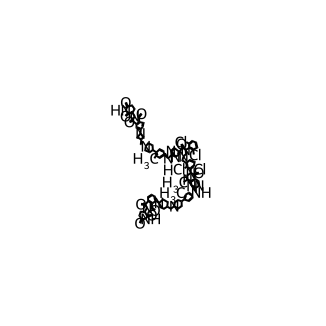 Cc1cc(Nc2ncc3c(n2)N(C)CN(c2c(Cl)ccc(CN4CN(c5c(Cl)cccc5Cl)C(=O)c5cnc(Nc6ccc(C7CCN(CC8CN(c9ccc%10c(c9)C(=O)N(C9CCC(=O)NC9=O)C%10=O)C8)CC7)c(C)c6)nc54)c2Cl)C3=O)ccc1C1CCN(CC2CCN(c3cccc4c3C(=O)N(C3CCC(=O)NC3=O)C4=O)CC2)CC1